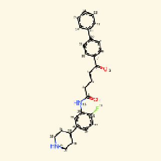 O=C(CCCC(=O)c1ccc(-c2ccccc2)cc1)Nc1cc(C2CCNCC2)ccc1F